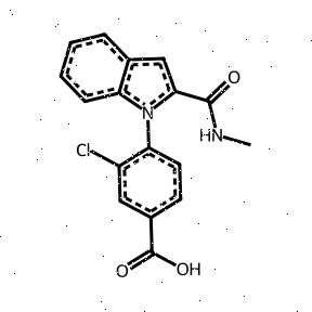 CNC(=O)c1cc2ccccc2n1-c1ccc(C(=O)O)cc1Cl